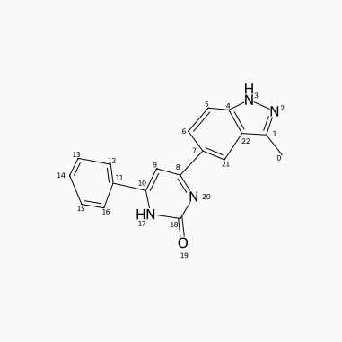 Cc1n[nH]c2ccc(-c3cc(-c4ccccc4)[nH]c(=O)n3)cc12